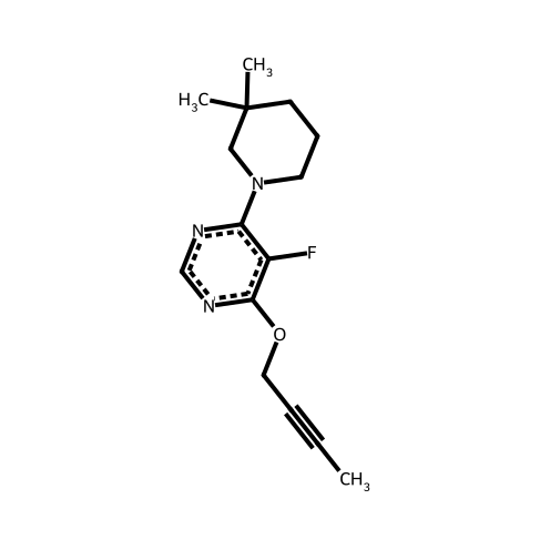 CC#CCOc1ncnc(N2CCCC(C)(C)C2)c1F